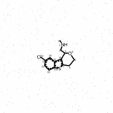 CNCC1OCCc2sc3ccc(Cl)cc3c21